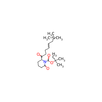 CC(C)(C)OC(=O)N1C(=O)CCC[C@H]1C(=O)CCC=CC[Si](C)(C)C